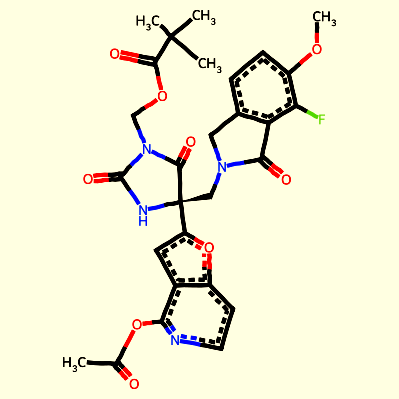 COc1ccc2c(c1F)C(=O)N(C[C@@]1(c3cc4c(OC(C)=O)nccc4o3)NC(=O)N(COC(=O)C(C)(C)C)C1=O)C2